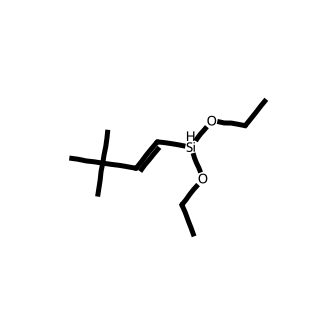 CCO[SiH](C=CC(C)(C)C)OCC